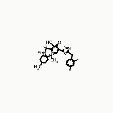 CCN1C(=O)c2c(O)c(=O)c(-c3nnc(Cc4ccc(F)cc4F)s3)cn2N(C)C12CCC(C)CC2